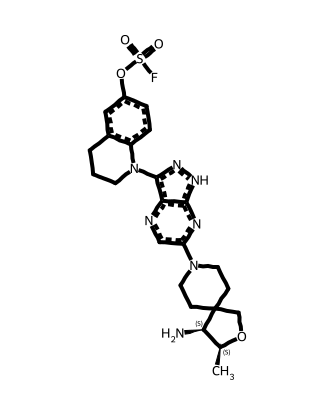 C[C@@H]1OCC2(CCN(c3cnc4c(N5CCCc6cc(OS(=O)(=O)F)ccc65)n[nH]c4n3)CC2)[C@@H]1N